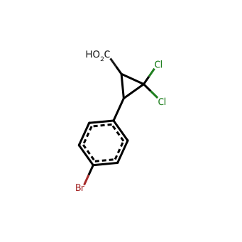 O=C(O)C1C(c2ccc(Br)cc2)C1(Cl)Cl